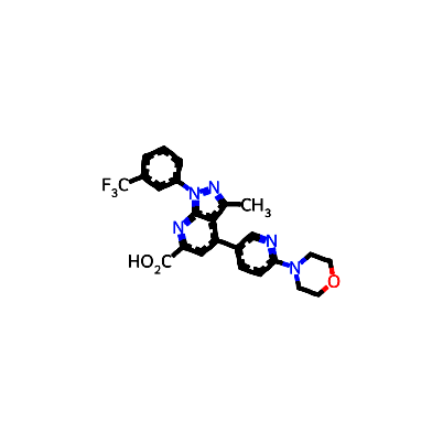 Cc1nn(-c2cccc(C(F)(F)F)c2)c2nc(C(=O)O)cc(-c3ccc(N4CCOCC4)nc3)c12